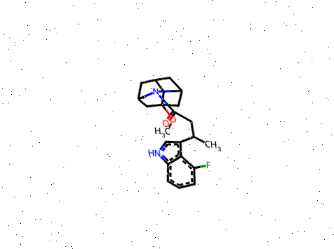 COC12CC3CC(C1)N(C(=O)CC(C)c1c[nH]c4cccc(F)c14)C(C3)C2